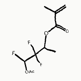 C=C(C)C(=O)OC(C)C(F)(F)C(F)OC(C)=O